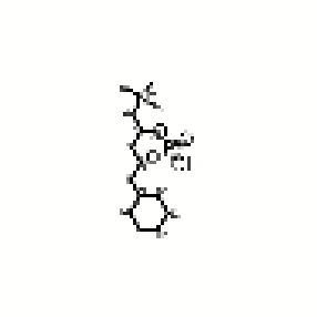 C[N+](C)(C)CC(CCCC1CCCCC1)OP(=O)([O-])O